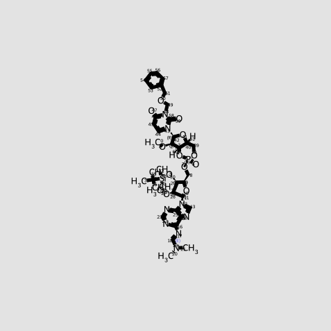 CO[C@@H]1[C@@H]2O[P@](=O)(OC[C@H]3O[C@@H](n4cnc5c(/N=C/N(C)C)ncnc54)[C@H](OC)[C@@H]3O[Si](C)(C)C(C)(C)C)OC[C@H]2O[C@H]1n1ccc(=O)n(COCc2ccccc2)c1=O